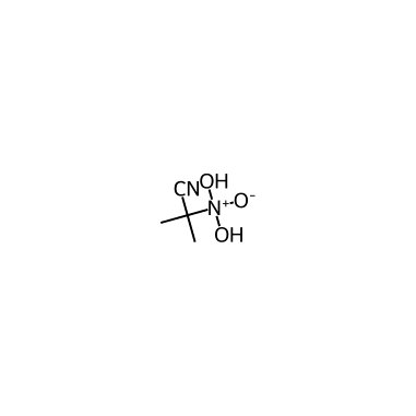 CC(C)(C#N)[N+]([O-])(O)O